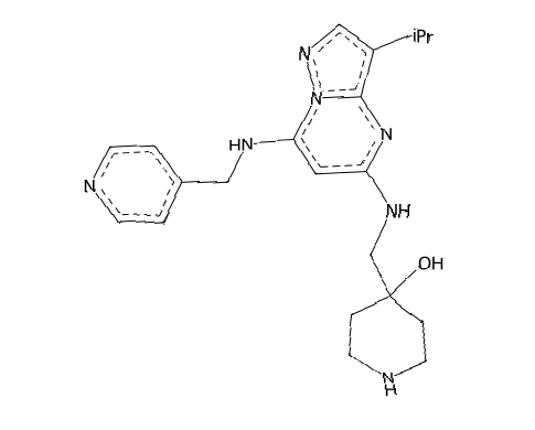 CC(C)c1cnn2c(NCc3ccncc3)cc(NCC3(O)CCNCC3)nc12